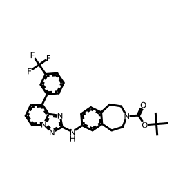 CC(C)(C)OC(=O)N1CCc2ccc(Nc3nc4c(-c5cccc(C(F)(F)F)c5)cccn4n3)cc2CC1